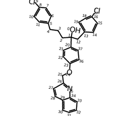 OC(CCCc1ccc(Cl)cc1)(Cc1ccc(Cl)cc1)c1ccc(OCc2ccc3ccccc3n2)cc1